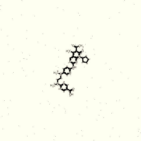 CC(=O)c1c(C)c2cnc(Nc3ccc(N(C)CCN(C)c4ncc(C(=O)O)cn4)cn3)nc2n(C2CCCC2)c1=O